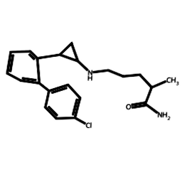 CC(CCCNC1CC1c1ccccc1-c1ccc(Cl)cc1)C(N)=O